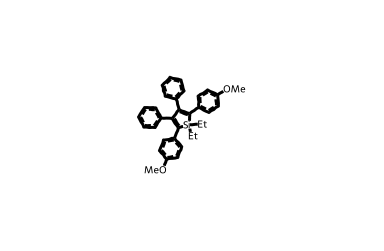 CC[Si]1(CC)C(c2ccc(OC)cc2)=C(c2ccccc2)C(c2ccccc2)=C1c1ccc(OC)cc1